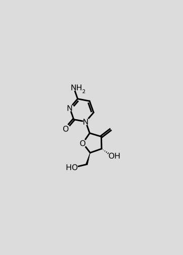 C=C1C(n2ccc(N)nc2=O)O[C@H](CO)[C@H]1O